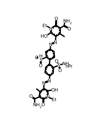 CCCNS(=O)(=O)c1cc(N=Nc2c(C)c(C(N)=O)c(=O)n(CC)c2O)ccc1-c1ccc(N=Nc2c(C)c(C(N)=O)c(=O)n(CC)c2O)cc1[SH](=O)=O